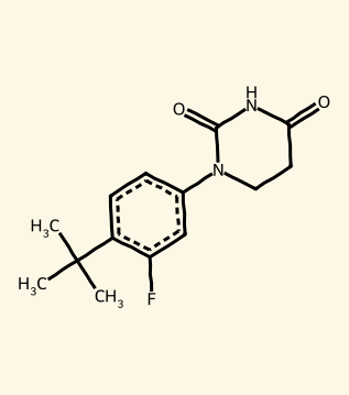 CC(C)(C)c1ccc(N2CCC(=O)NC2=O)cc1F